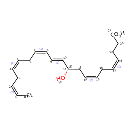 CC/C=C\C/C=C\C/C=C\C=C\[C@@H](O)C/C=C\C/C=C\CCC(=O)O